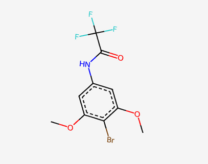 COc1cc(NC(=O)C(F)(F)F)cc(OC)c1Br